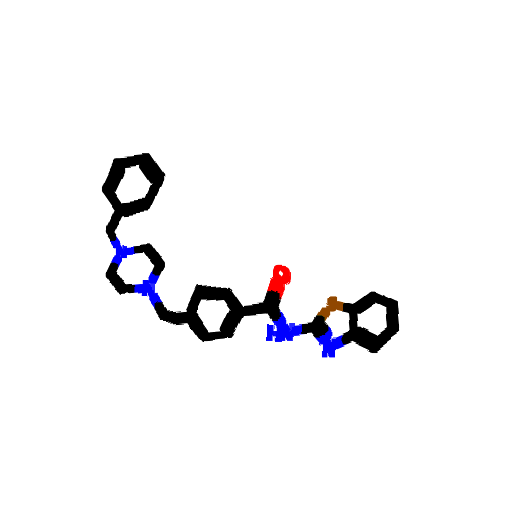 O=C(Nc1nc2ccccc2s1)c1ccc(CN2CCN(Cc3ccccc3)CC2)cc1